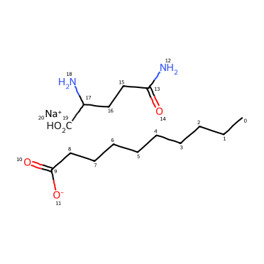 CCCCCCCCCC(=O)[O-].NC(=O)CCC(N)C(=O)O.[Na+]